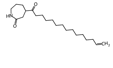 C=CCCCCCCCCCCCCC(=O)C1CCCNC(=O)C1